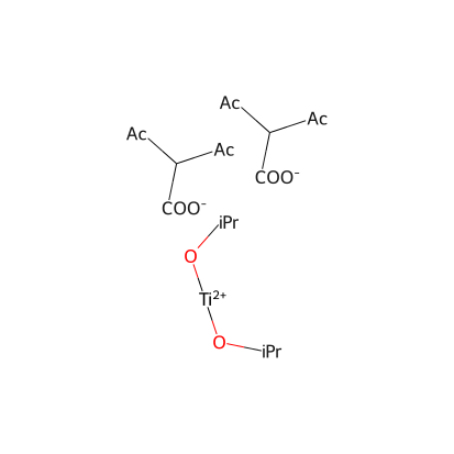 CC(=O)C(C(C)=O)C(=O)[O-].CC(=O)C(C(C)=O)C(=O)[O-].CC(C)[O][Ti+2][O]C(C)C